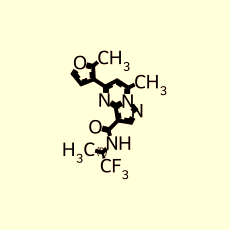 Cc1occc1-c1cc(C)n2ncc(C(=O)N[C@H](C)C(F)(F)F)c2n1